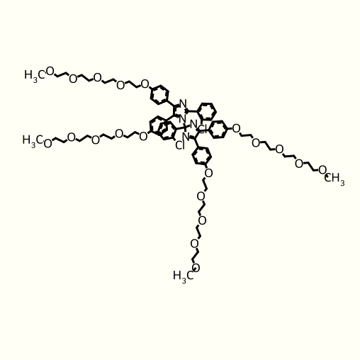 COCCOCCOCCOCCOc1ccc(C2=NC(c3ccccc3Cl)(n3c(-c4ccccc4Cl)nc(-c4ccc(OCCOCCOCCOCCOC)cc4)c3-c3ccc(OCCOCCOCCOCCOC)cc3)N=C2c2ccc(OCCOCCOCCOCCOC)cc2)cc1